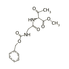 COC(=O)[C@@H](NC(=O)CNC(=O)OCc1ccccc1)C(C)=O